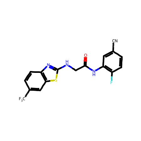 N#Cc1ccc(F)c(NC(=O)CNc2nc3ccc(C(F)(F)F)cc3s2)c1